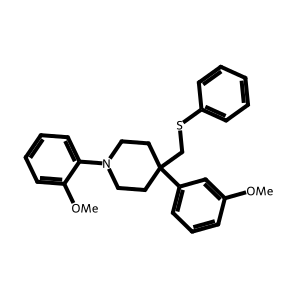 COc1cccc(C2(CSc3ccccc3)CCN(c3ccccc3OC)CC2)c1